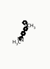 Cc1ncc(-c2ccc(-c3ccc(C(C)N4CCCCC4)cc3)cc2)cn1